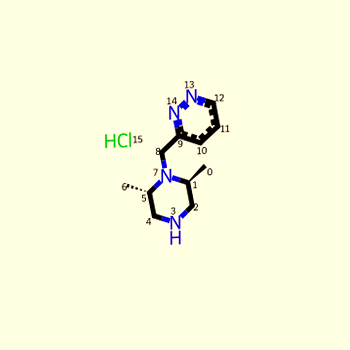 C[C@H]1CNC[C@H](C)N1Cc1cccnn1.Cl